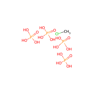 CCl.O=P(O)(O)O.O=P(O)(O)O.O=P(O)(O)O.O=P(O)(O)O